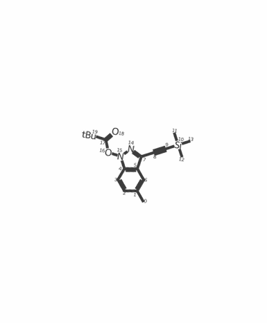 Cc1ccc2c(c1)c(C#C[Si](C)(C)C)nn2OC(=O)C(C)(C)C